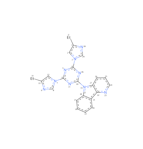 CCc1cn(-c2nc(-n3cnc(CC)c3)nc(-n3c4ccccc4c4ncccc43)n2)cn1